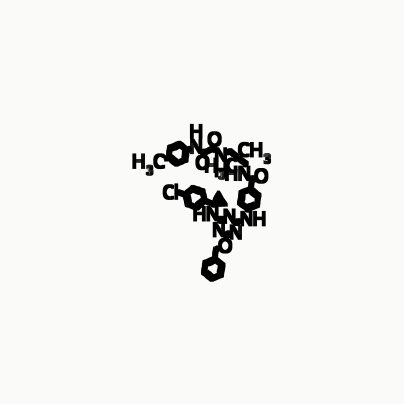 Cc1ccc(NC(=O)C(=O)NCC(C)(C)CNC(=O)c2ccc(Nc3nc(NC4(c5ccc(Cl)cc5)CC4)nc(OCc4ccccc4)n3)cc2)cc1